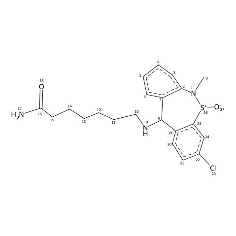 CN1c2ccccc2C(NCCCCCCC(N)=O)c2ccc(Cl)cc2[S+]1[O-]